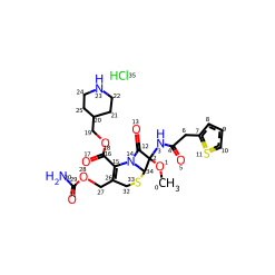 COC1(NC(=O)Cc2cccs2)C(=O)N2C(C(=O)OCC3CCNCC3)=C(COC(N)=O)CSC21.Cl